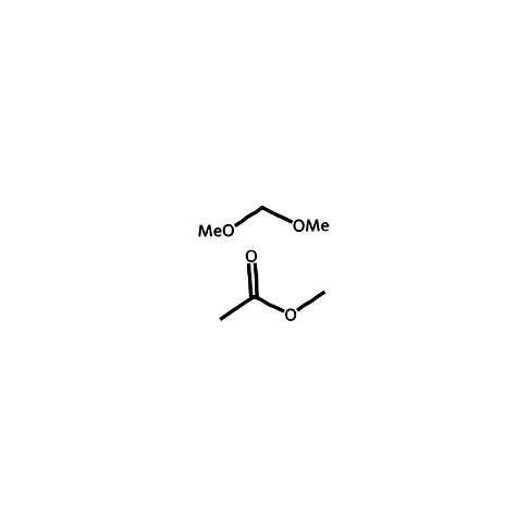 COC(C)=O.COCOC